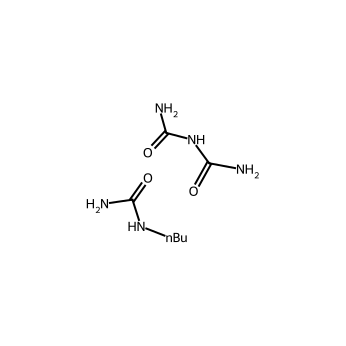 CCCCNC(N)=O.NC(=O)NC(N)=O